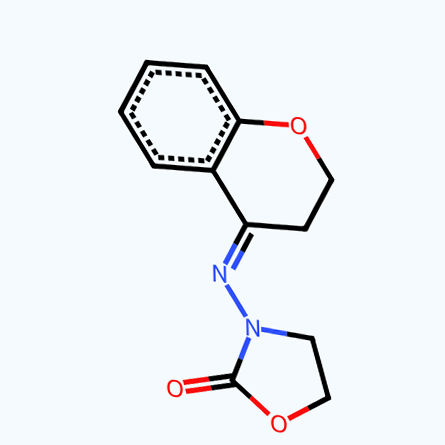 O=C1OCCN1N=C1CCOc2ccccc21